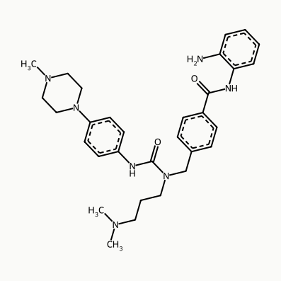 CN(C)CCCN(Cc1ccc(C(=O)Nc2ccccc2N)cc1)C(=O)Nc1ccc(N2CCN(C)CC2)cc1